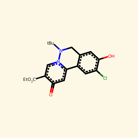 CCOC(=O)c1cn2c(cc1=O)-c1cc(Cl)c(O)cc1CN2C(C)(C)C